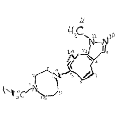 CN1CCN(c2ccc3cnn(C)c3n2)CC1